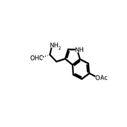 CC(=O)Oc1ccc2c(C[C@@H](N)C=O)c[nH]c2c1